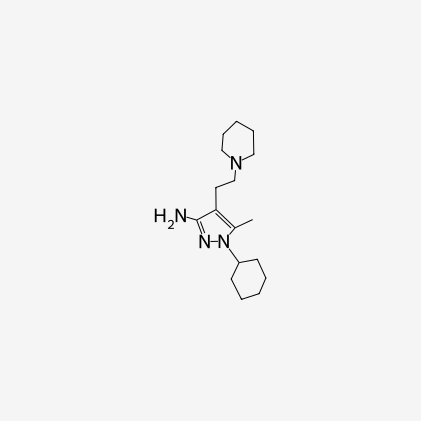 Cc1c(CCN2CCCCC2)c(N)nn1C1CCCCC1